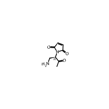 CC(=O)[C@@H](CN)N1C(=O)C=CC1=O